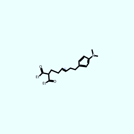 CCC(=O)C(CC/C=C/CCc1ccc(N(C)C)cc1)C(=O)CC